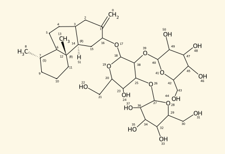 C=C1CC2CCC3[C@@H](C)CCC[C@@]3(C)[C@@H]2CC1OC1OC(CO)C(O)C(OC2OC(CO)C(O)C(O)C2O)C1OC1OC(CO)C(O)C(O)C1O